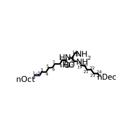 CCCCCCCC/C=C/CCCCCCCC(=O)NC(CN)C(O)NCCCCCCCCCCCCCCCC